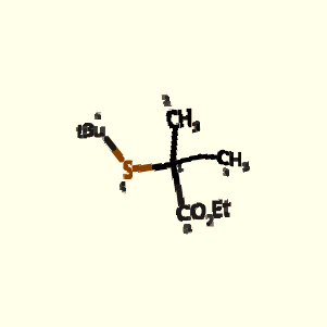 CCOC(=O)C(C)(C)SC(C)(C)C